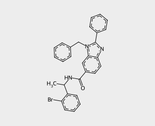 CC(NC(=O)c1ccc2nc(-c3ccccc3)n(Cc3ccccc3)c2c1)c1ccccc1Br